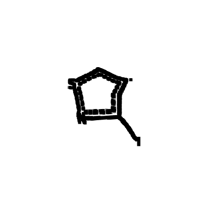 Ic1[c]csn1